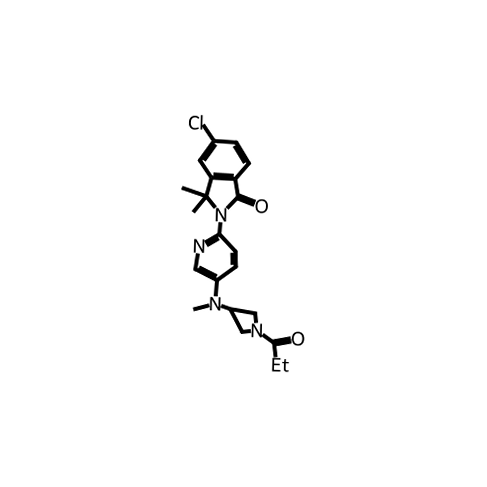 CCC(=O)N1CC(N(C)c2ccc(N3C(=O)c4ccc(Cl)cc4C3(C)C)nc2)C1